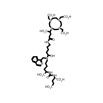 O=C(O)CC[C@H](NC(=O)NC(CCCCN(Cc1nccc2ccccc12)C(O)CCCCNC(=O)CCC(C(=O)O)N1CCN(CC(=O)O)CCN(CC(=O)O)CCN(CC(=O)O)CC1)C(=O)O)C(=O)O